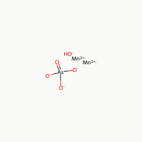 O=[As]([O-])([O-])[O-].[Mn+2].[Mn+2].[OH-]